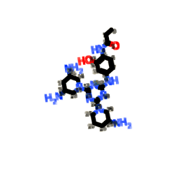 CCC(=O)Nc1ccc(Nc2nc(N3CC(N)CC(N)C3)nc(N3CCC[C@H](N)C3)n2)cc1O